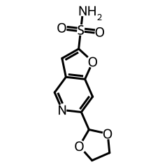 NS(=O)(=O)c1cc2cnc(C3OCCO3)cc2o1